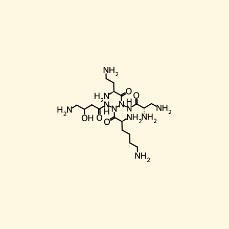 NCCCC[C@H](N)C(=O)N(NC(=O)CC(O)CN)N(NC(=O)[C@@H](N)CN)C(=O)[C@@H](N)CCN